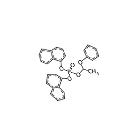 CC(Oc1ccccc1)OP(=O)(Oc1cccc2ccccc12)Oc1cccc2ccccc12